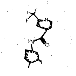 Cc1ccc(NC(=O)c2ccnc(C(F)(F)F)c2)cc1I